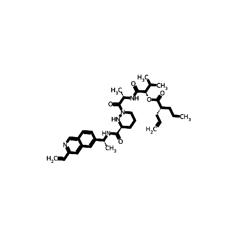 C=CC[C@@H](CCC)C(=O)O[C@H](C(=O)N[C@@H](C)C(=O)N1CCC[C@@H](C(=O)N[C@H](C)c2ccc3cnc(C=C)cc3c2)N1)C(C)C